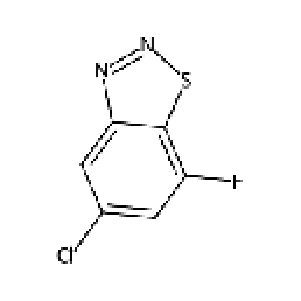 Fc1cc(Cl)cc2nnsc12